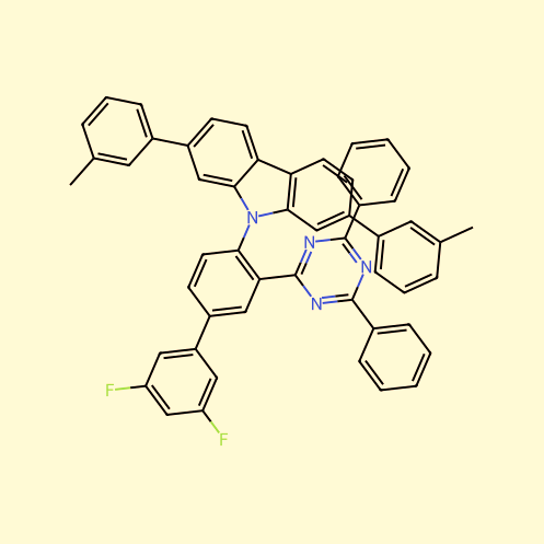 Cc1cccc(-c2ccc3c4ccc(-c5cccc(C)c5)cc4n(-c4ccc(-c5cc(F)cc(F)c5)cc4-c4nc(-c5ccccc5)nc(-c5ccccc5)n4)c3c2)c1